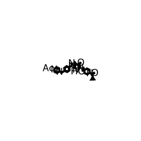 CC(=O)N1CCN(Cc2ccc(-n3ncc4c(=O)n(CC5(O)CCN(C(=O)C6CC6)CC5)cnc43)cc2)CC1